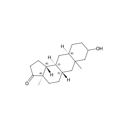 CC12CC(O)CC[C@@H]1C[C@H]1[C@@H](CC[C@@]3(C)C(=O)CC[C@H]13)C2